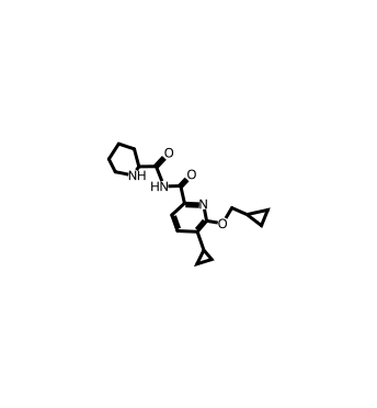 O=C(NC(=O)C1CCCCN1)c1ccc(C2CC2)c(OCC2CC2)n1